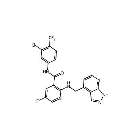 O=C(Nc1ccc(C(F)(F)F)c(Cl)c1)c1cc(F)cnc1NCc1ccnc2[nH]ncc12